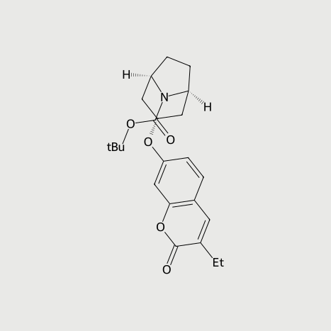 CCc1cc2ccc(O[C@@H]3C[C@H]4CC[C@@H](C3)N4C(=O)OC(C)(C)C)cc2oc1=O